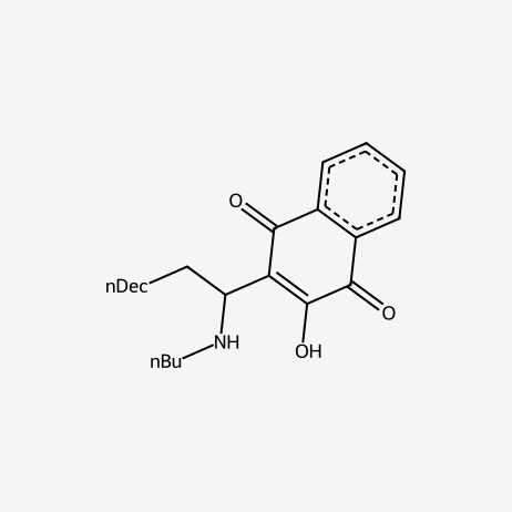 CCCCCCCCCCCC(NCCCC)C1=C(O)C(=O)c2ccccc2C1=O